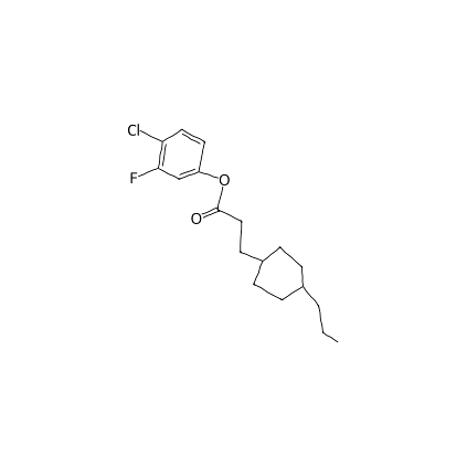 CCCC1CCC(CCC(=O)Oc2ccc(Cl)c(F)c2)CC1